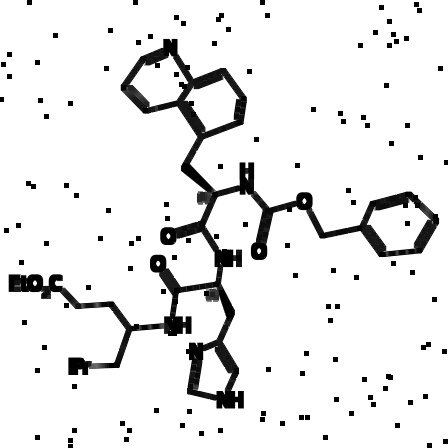 CCOC(=O)CCC(CC(C)C)NC(=O)[C@H](Cc1c[nH]cn1)NC(=O)[C@@H](Cc1cccc2ncccc12)NC(=O)OCc1ccccc1